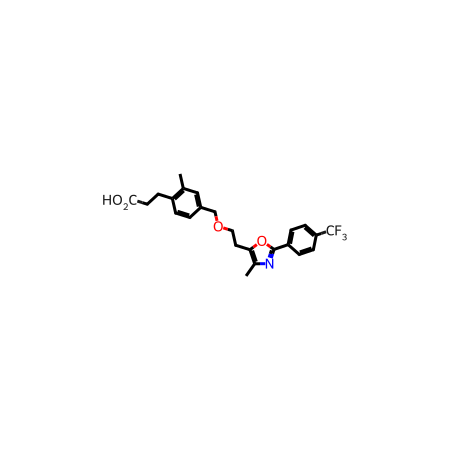 Cc1cc(COCCc2oc(-c3ccc(C(F)(F)F)cc3)nc2C)ccc1CCC(=O)O